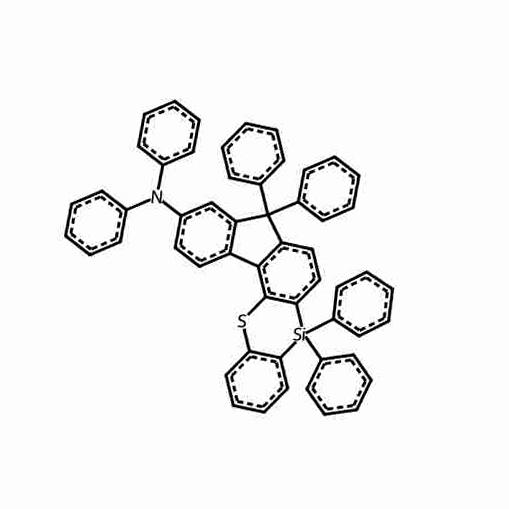 c1ccc(N(c2ccccc2)c2ccc3c(c2)C(c2ccccc2)(c2ccccc2)c2ccc4c(c2-3)Sc2ccccc2[Si]4(c2ccccc2)c2ccccc2)cc1